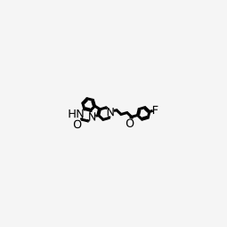 O=C1Cn2c3c(c4cccc(c42)N1)CN(CCCC(=O)c1ccc(F)cc1)CC3